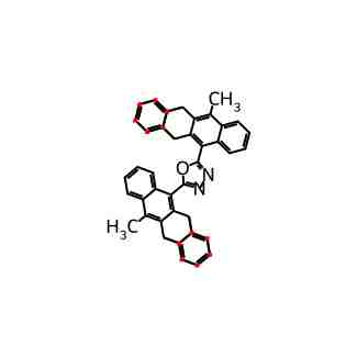 Cc1c2c(c(-c3nnc(-c4c5c(c(C)c6ccccc46)C4c6ccccc6C5c5ccccc54)o3)c3ccccc13)C1c3ccccc3C2c2ccccc21